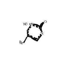 Cl.O=c1ncc(Br)c[nH]1